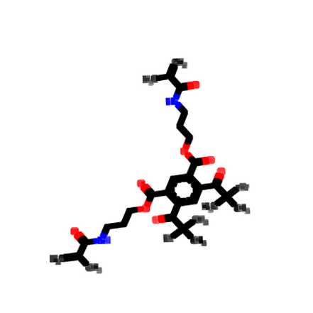 C=C(C)C(=O)NCCCOC(=O)c1cc(C(=O)OCCCNC(=O)C(=C)C)c(C(=O)C(C)(C)CCC)cc1C(=O)C(C)(C)CC